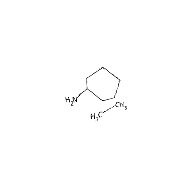 CC.NC1CCCCC1